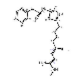 CN/C(N)=C/C=C(\N)CCCCc1nnc(NC(=O)Cc2cccnc2)s1